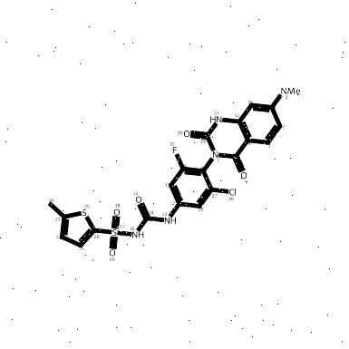 CNc1ccc2c(=O)n(-c3c(F)cc(NC(=O)NS(=O)(=O)c4ccc(C)s4)cc3Cl)c(=O)[nH]c2c1